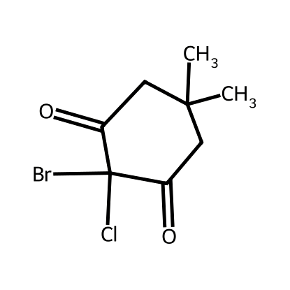 CC1(C)CC(=O)C(Cl)(Br)C(=O)C1